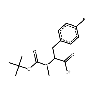 CN(C(=O)OC(C)(C)C)C(Cc1ccc(F)cc1)C(=O)O